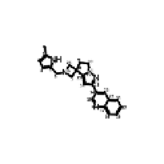 Cc1ccc(CN2CC3(CCn4nc(-c5cnc6ccccc6c5)cc43)C2)[nH]1